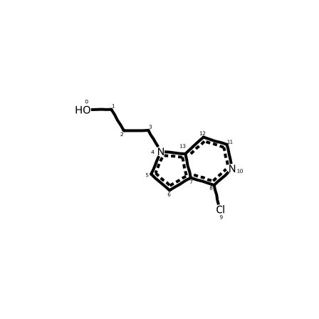 OCCCn1ccc2c(Cl)nccc21